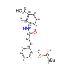 CCCCC(=O)SCc1ccccc1CCC(=O)Nc1cccc(C(=O)O)c1C